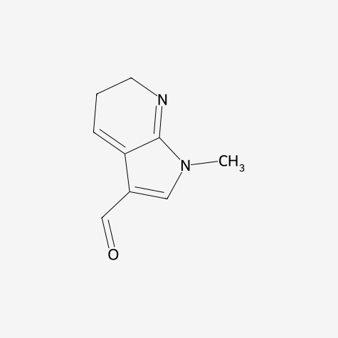 Cn1cc(C=O)c2c1=NCCC=2